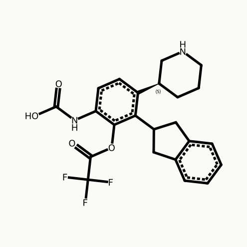 O=C(O)Nc1ccc([C@@H]2CCCNC2)c(C2Cc3ccccc3C2)c1OC(=O)C(F)(F)F